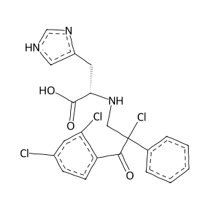 O=C(O)[C@H](Cc1c[nH]cn1)NCC(Cl)(C(=O)c1ccc(Cl)cc1Cl)c1ccccc1